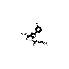 C=CCOC(=O)Nc1sc(-c2cccc(Cl)c2)cc1C(=O)OC